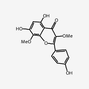 COc1c(-c2ccc(O)cc2)oc2c(OC)c(O)cc(O)c2c1=O